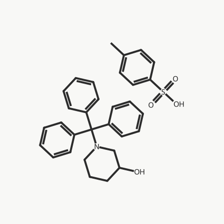 Cc1ccc(S(=O)(=O)O)cc1.OC1CCCN(C(c2ccccc2)(c2ccccc2)c2ccccc2)C1